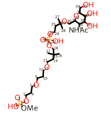 COP(=O)(O)OCCCOCCCOCCC(C)(C)COP(=O)(O)OCCC(C)(C)OCC1OC(CO)C(O)C(O)C1NC(C)=O